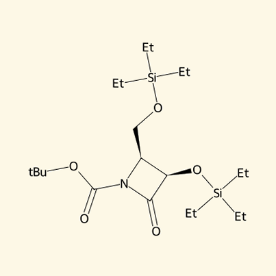 CC[Si](CC)(CC)OC[C@H]1[C@@H](O[Si](CC)(CC)CC)C(=O)N1C(=O)OC(C)(C)C